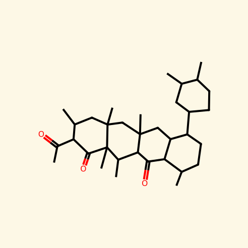 CC(=O)C1C(=O)C2(C)C(C)C3C(=O)C4C(C)CCC(C5CCC(C)C(C)C5)C4CC3(C)CC2(C)CC1C